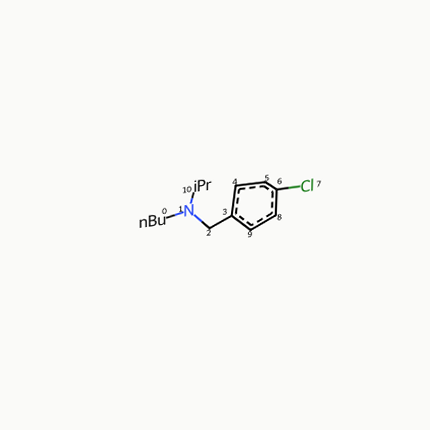 CCCCN(Cc1ccc(Cl)cc1)C(C)C